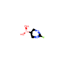 OB(O)c1cnc(F)nc1